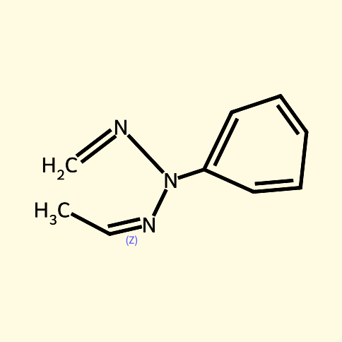 C=NN(/N=C\C)c1ccccc1